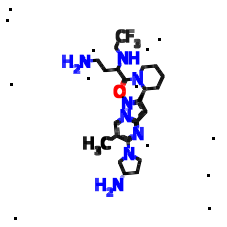 Cc1cn2nc([C@@H]3CCCCN3C(=O)C(CCN)NCC(F)(F)F)cc2nc1N1CC[C@H](N)C1